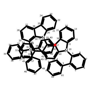 c1ccc(-c2ccccc2-n2c3ccccc3c3c(-n4c5ccccc5c5cccc([Si](c6ccccc6)(c6ccccc6)c6ccccc6)c54)c(-c4ccccc4)ccc32)cc1